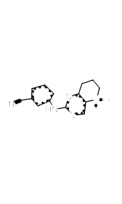 N#Cc1cccc(Nc2ncc3c(n2)CCCS3(=O)=O)c1